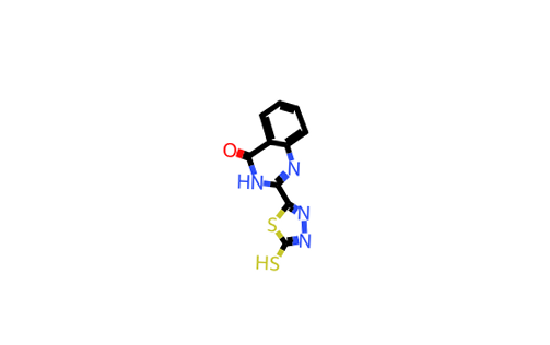 O=c1[nH]c(-c2nnc(S)s2)nc2ccccc12